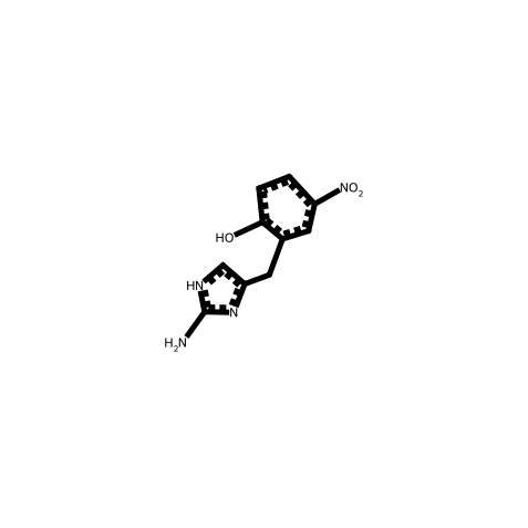 Nc1nc(Cc2cc([N+](=O)[O-])ccc2O)c[nH]1